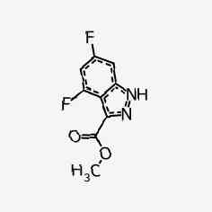 COC(=O)c1n[nH]c2cc(F)cc(F)c12